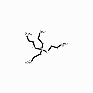 CCCCCCCCCCCC[Si](CCCCCCCCCCCC)(OCCOC)OCCOC